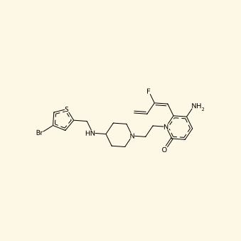 C=C/C(F)=C\c1c(N)ccc(=O)n1CCN1CCC(NCc2cc(Br)cs2)CC1